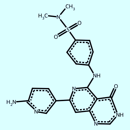 CN(C)S(=O)(=O)c1ccc(Nc2nc(-c3ccc(N)nc3)cc3nc[nH]c(=O)c23)cc1